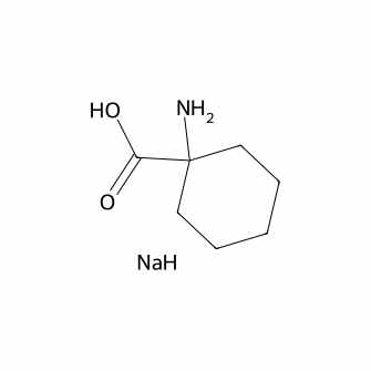 NC1(C(=O)O)CCCCC1.[NaH]